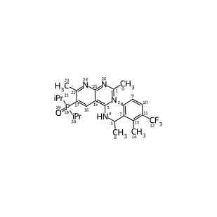 Cc1nc(NC(C)c2cccc(C(F)(F)F)c2C)c2cc(P(=O)(C(C)C)C(C)C)c(C)nc2n1